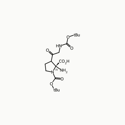 CC(C)(C)OC(=O)NCC(=O)C1CCN(C(=O)OC(C)(C)C)[C@]1(N)C(=O)O